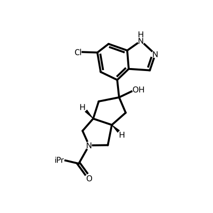 CC(C)C(=O)N1C[C@@H]2CC(O)(c3cc(Cl)cc4[nH]ncc34)C[C@@H]2C1